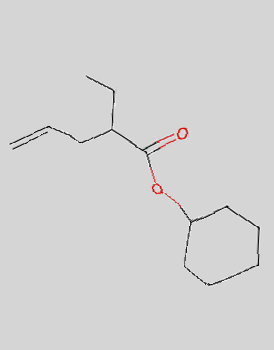 C=CCC(CC)C(=O)OC1CCCCC1